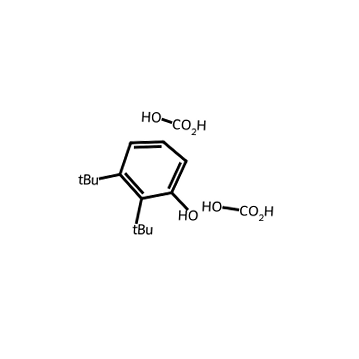 CC(C)(C)c1cccc(O)c1C(C)(C)C.O=C(O)O.O=C(O)O